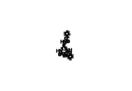 CC(C)(C)OC(=O)NCCN(CCNC(=O)OCc1ccccc1)CCNC(=O)OCc1ccccc1